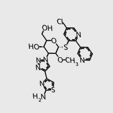 COC1C(n2cc(-c3csc(N)n3)nn2)[C@@H](O)C(CO)O[C@@H]1Sc1cc(Cl)cnc1-c1cccnc1